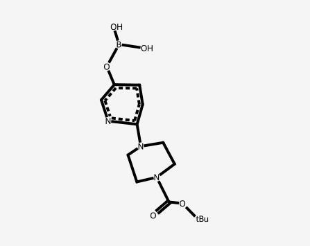 CC(C)(C)OC(=O)N1CCN(c2ccc(OB(O)O)cn2)CC1